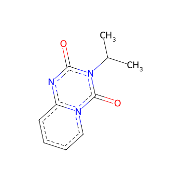 CC(C)n1c(=O)nc2ccccn2c1=O